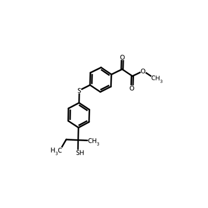 CCC(C)(S)c1ccc(Sc2ccc(C(=O)C(=O)OC)cc2)cc1